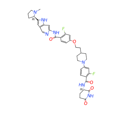 CN1CCC[C@@H]1c1cc2cnc(NC(=O)c3ccc(OCCC4CCN(c5ccc(C(=O)N[C@H]6CCC(=O)NC6=O)c(F)c5)CC4)cc3F)cc2[nH]1